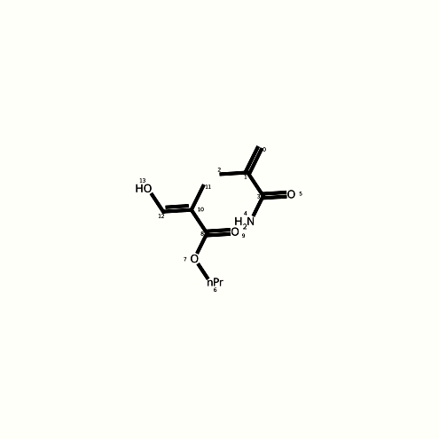 C=C(C)C(N)=O.CCCOC(=O)C(C)=CO